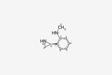 CNc1ccccc1[C@H]1CN1